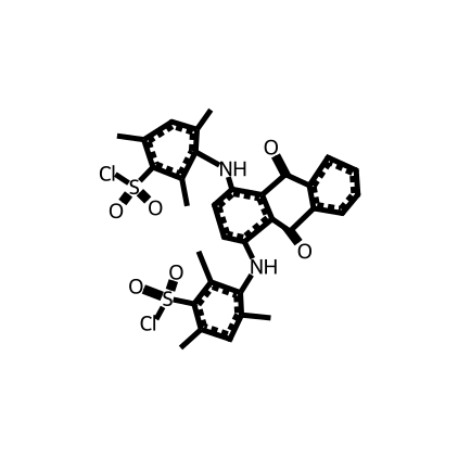 Cc1cc(C)c(S(=O)(=O)Cl)c(C)c1Nc1ccc(Nc2c(C)cc(C)c(S(=O)(=O)Cl)c2C)c2c1C(=O)c1ccccc1C2=O